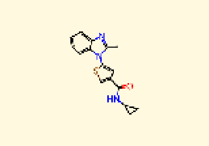 Cc1nc2ccccc2n1-c1cc(C(=O)NC2CC2)cs1